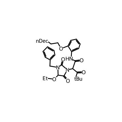 CCCCCCCCCCCCOc1ccccc1NC(=O)C(C(=O)C(C)(C)C)N1C(=O)C(OCC)N(Cc2ccccc2)C1=O